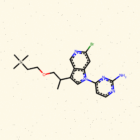 CC(COCC[Si](C)(C)C)c1cn(-c2ccnc(N)n2)c2cc(Br)ncc12